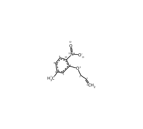 C=CCOc1cc(C)ccc1[N+](=O)[O-]